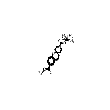 COC(=O)c1ccc2c(c1)CCC1(CCN(C(=O)OC(C)(C)C)CC1)O2